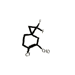 O=CC1=C(Cl)CCC2(C1)CC2(F)F